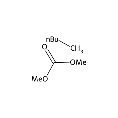 CCCCC.COC(=O)OC